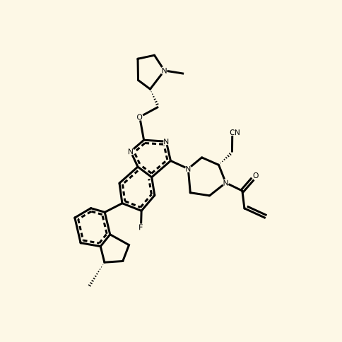 C=CC(=O)N1CCN(c2nc(OC[C@@H]3CCCN3C)nc3cc(-c4cccc5c4CC[C@@H]5C)c(F)cc23)C[C@@H]1CC#N